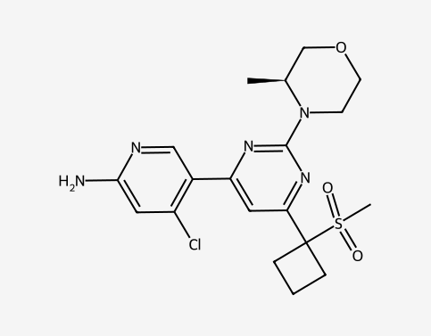 C[C@H]1COCCN1c1nc(-c2cnc(N)cc2Cl)cc(C2(S(C)(=O)=O)CCC2)n1